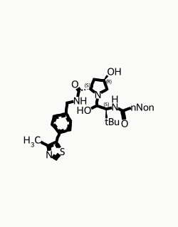 CCCCCCCCCC(=O)N[C@H](C(O)N1C[C@H](O)C[C@H]1C(=O)NCc1ccc(-c2scnc2C)cc1)C(C)(C)C